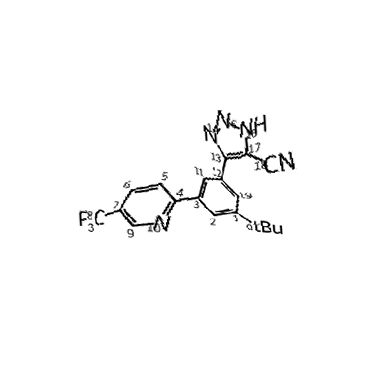 CC(C)(C)c1cc(-c2ccc(C(F)(F)F)cn2)cc(-c2nn[nH]c2C#N)c1